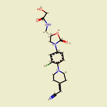 N#CC=C1CCN(c2ccc(N3C[C@H](CNC(=O)CO)OC3=O)cc2F)CC1